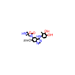 COc1cc2ncnc(Nc3ccc(O)c(O)c3C)c2cc1N1CC2(CNC2)OC1=O